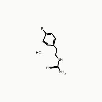 Cl.N=C(N)NCCc1ccc(F)cc1